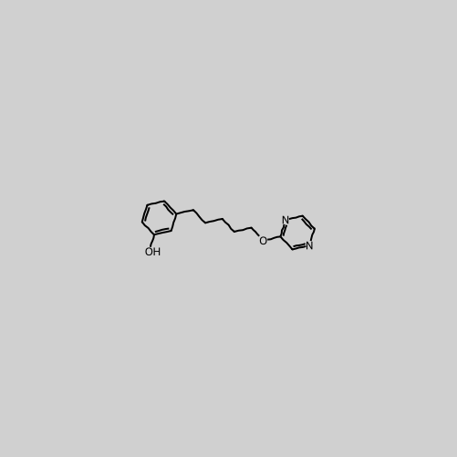 Oc1cccc(CCCCCOc2cnccn2)c1